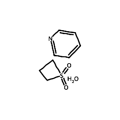 O.O=S1(=O)CCC1.c1ccncc1